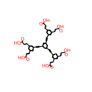 O=C(O)/C=C/c1cc(C#Cc2cc(C#Cc3cc(/C=C/C(=O)O)cc(/C=C/C(=O)O)c3)cc(C#Cc3cc(/C=C/C(=O)O)cc(/C=C/C(=O)O)c3)c2)cc(/C=C/C(=O)O)c1